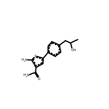 CC(O)Cc1ccc(-c2cc(C(N)=O)c(N)s2)cc1